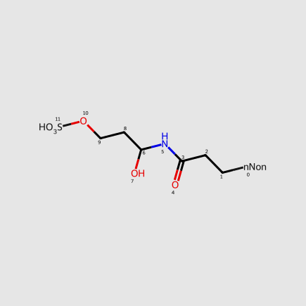 CCCCCCCCCCCC(=O)NC(O)CCOS(=O)(=O)O